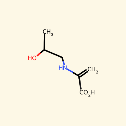 C=C(NCC(C)O)C(=O)O